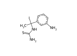 CC(I)(NC(N)=S)c1cccc(N)c1